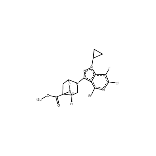 CCc1nc(Cl)c(F)c2c1c(N1C[C@@H]3CCC1CN3C(=O)OC(C)(C)C)nn2C1CC1